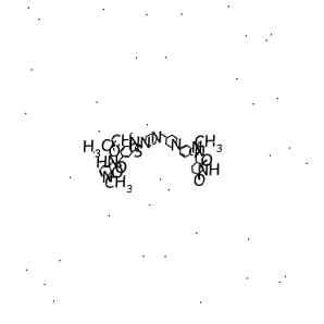 CC(C)Oc1cc2nc(N3CCN(CC4CCN(c5ccc6c(C7CCC(=O)NC7=O)nn(C)c6c5)CC4)CC3)sc2cc1C(=O)Nc1cccn(C)c1=O